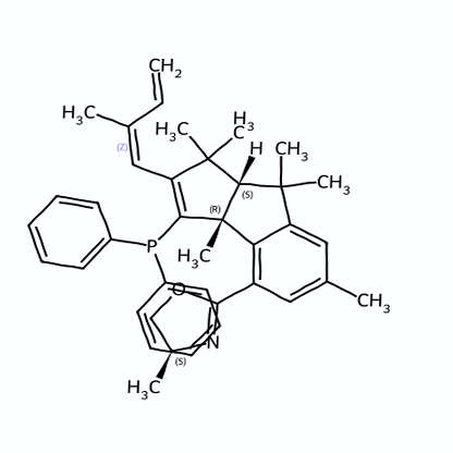 C=C/C(C)=C\C1=C(P(c2ccccc2)c2ccccc2)[C@@]2(C)c3c(C4=N[C@@H](C)CO4)cc(C)cc3C(C)(C)[C@H]2C1(C)C